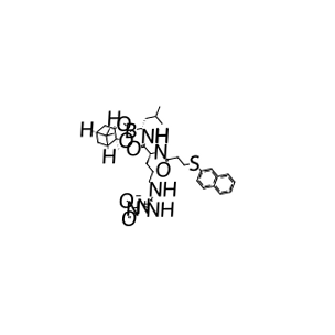 CC(C)C[C@H](NC(=O)[C@H](CCCNC1NN1[N+](=O)[O-])NC(=O)CCSc1ccc2ccccc2c1)B1O[C@@H]2C[C@@H]3C[C@@H](C3(C)C)[C@]2(C)O1